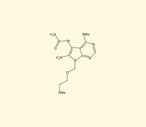 CNc1ncnc2c1c([Se]C(N)=O)c(N)n2COCCOC